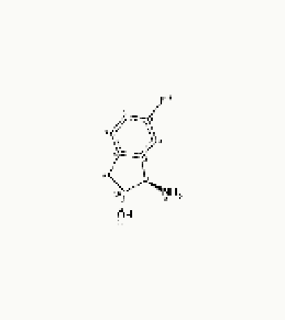 N[C@@H]1c2cc(F)ccc2C[C@H]1O